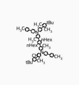 CCCCCCc1cc(-c2ccc(N(C3C=CC(c4c(C)cc(C(C)(C)C)cc4C)=CC3)C3C=CC(c4ccc(C)cc4)CC3)cc2C)c(CCCCCC)cc1-c1ccc(N(c2ccc(-c3c(C)cc(C(C)(C)C)cc3C)cc2)C2C=CC(c3ccc(C)cc3)=CC2)cc1C